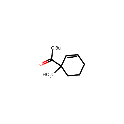 CC(C)COC(=O)C1(C(=O)O)C=CCCC1